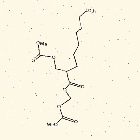 COC(=O)OCOC(=O)C(CCCCCCC(=O)O)COC(=O)OC